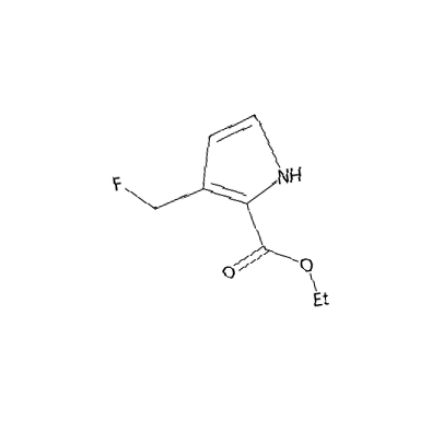 CCOC(=O)c1[nH]ccc1CF